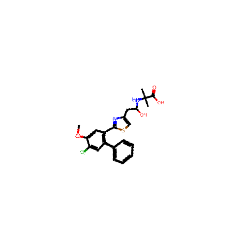 COc1cc(-c2nc(CC(O)NC(C)(C)C(=O)O)cs2)c(-c2ccccc2)cc1Cl